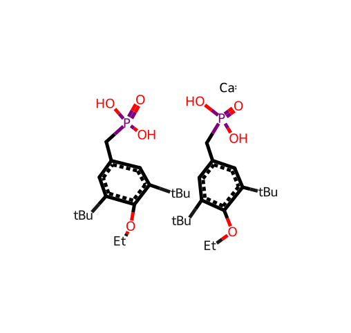 CCOc1c(C(C)(C)C)cc(CP(=O)(O)O)cc1C(C)(C)C.CCOc1c(C(C)(C)C)cc(CP(=O)(O)O)cc1C(C)(C)C.[Ca]